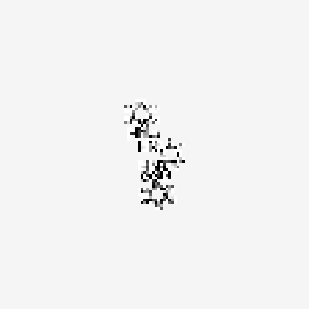 O=S(=O)(Nc1ccccc1NCNc1ccccc1)c1ccccc1